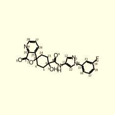 O=C1OC2(CCC(O)(C(=O)Nc3cnn(-c4cccc(F)c4)c3)CC2)c2cccnc21